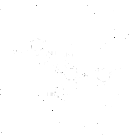 COc1cccc(NC(=O)c2nn3c(-c4cn[nH]c4)cc(N4Cc5ccc(F)cc5C4)nc3c2C(C)(C)C)c1